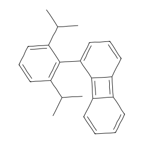 CC(C)c1cccc(C(C)C)c1-c1cccc2c1=c1ccccc1=2